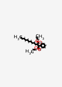 CCCCCCCCCCC(C(=O)OCCC)=C(C(=O)OCCC)C1CCCCC1